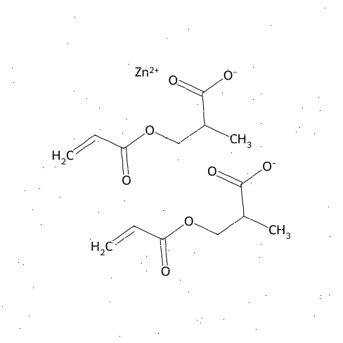 C=CC(=O)OCC(C)C(=O)[O-].C=CC(=O)OCC(C)C(=O)[O-].[Zn+2]